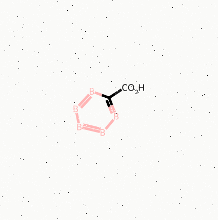 O=C(O)c1bbbbb1